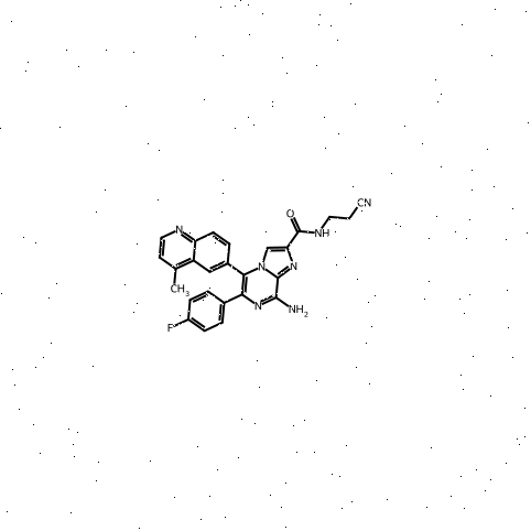 Cc1ccnc2ccc(-c3c(-c4ccc(F)cc4)nc(N)c4nc(C(=O)NCCC#N)cn34)cc12